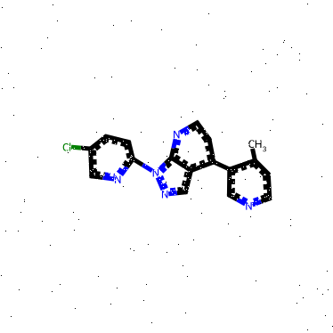 Cc1ccncc1-c1ccnc2c1cnn2-c1ccc(Cl)cn1